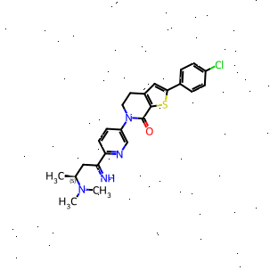 C[C@@H](CC(=N)c1ccc(N2CCc3cc(-c4ccc(Cl)cc4)sc3C2=O)cn1)N(C)C